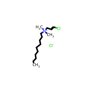 CCCCCCCCCC[N+](C)(C)CC=CCl.[Cl-]